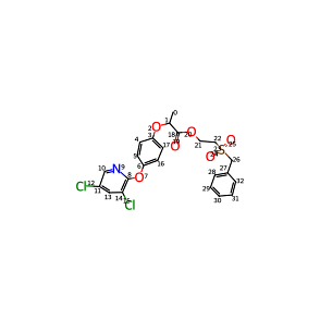 CC(Oc1ccc(Oc2ncc(Cl)cc2Cl)cc1)C(=O)OCCS(=O)(=O)Cc1ccccc1